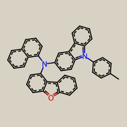 Cc1ccc(-n2c3ccccc3c3cc(N(c4cccc5ccccc45)c4cccc5oc6ccccc6c45)ccc32)cc1